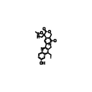 CBO[C@]1(CC)C(=O)OCc2c1cc1n(c2=O)Cc2c-1nc1ccc(O)cc1c2CC